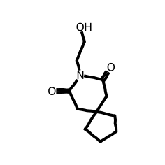 O=C1CC2(CCCC2)CC(=O)N1CCO